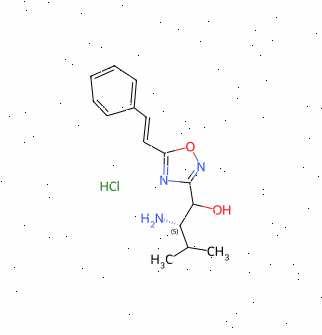 CC(C)[C@H](N)C(O)c1noc(C=Cc2ccccc2)n1.Cl